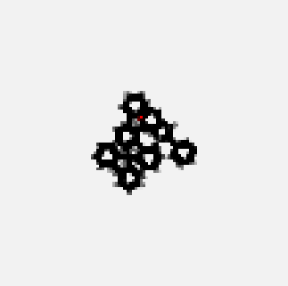 c1ccc(-c2nc3ccccc3n2-c2cccc3c2-c2c(ccc4c2oc2ccccc24)C32c3ccccc3-c3ccccc32)cc1